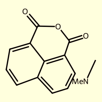 CNC.O=C1OC(=O)c2cccc3cccc1c23